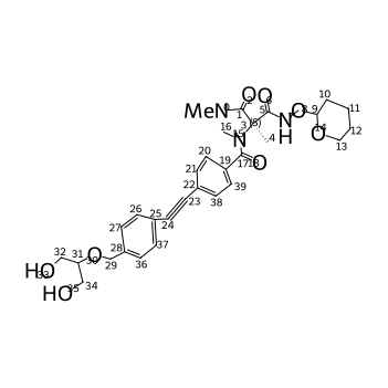 CNC(=O)[C@@](C)(C(=O)NOC1CCCCO1)N(C)C(=O)c1ccc(C#Cc2ccc(COC(CO)CO)cc2)cc1